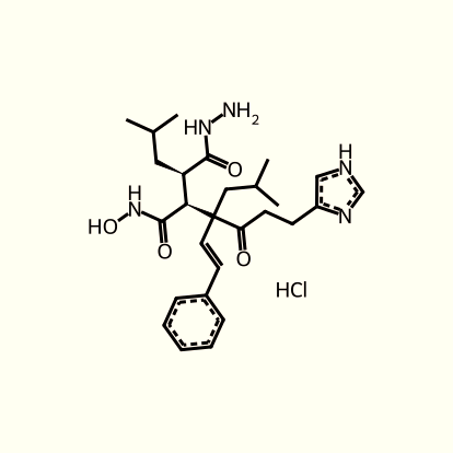 CC(C)C[C@@H](C(=O)NN)[C@H](C(=O)NO)C(/C=C/c1ccccc1)(CC(C)C)C(=O)CCc1c[nH]cn1.Cl